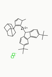 CC1C=CC(C23CC4CC(CC(C4)C2)C3)=[C]1[Zr+2][CH]1c2ccc(C(C)(C)C)cc2-c2cc(C(C)(C)C)ccc21.[Cl-].[Cl-]